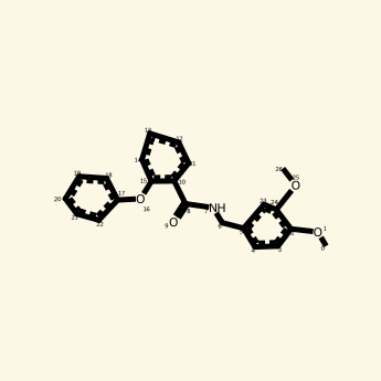 COc1ccc(CNC(=O)c2ccccc2Oc2ccccc2)cc1OC